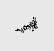 C=CCOC(=O)N1CCC(CC(=O)C[C@H]2NC(=O)[C@@H]2[C@@](C)(O[SiH](C)C)C(C)(C)C)CC1